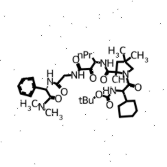 CCCC(NC(=O)C1(C)CC(C)(C)CN1C(=O)C(NC(=O)OC(C)(C)C)C1CCCCC1)C(=O)C(=O)NCC(=O)N[C@H](C(=O)N(C)C)c1ccccc1